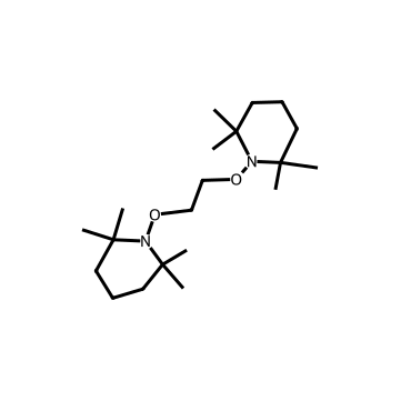 CC1(C)CCCC(C)(C)N1OCCON1C(C)(C)CCCC1(C)C